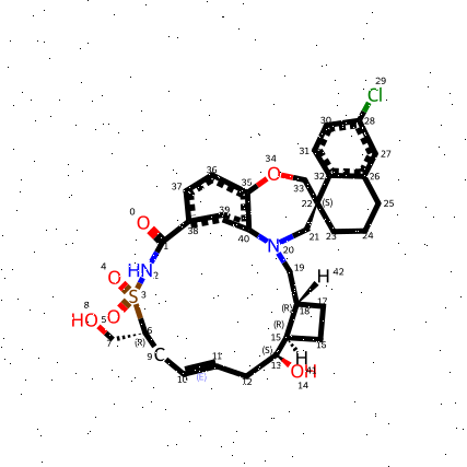 O=C1NS(=O)(=O)[C@@H](CO)C/C=C/C[C@H](O)[C@@H]2CC[C@H]2CN2C[C@@]3(CCCc4cc(Cl)ccc43)COc3ccc1cc32